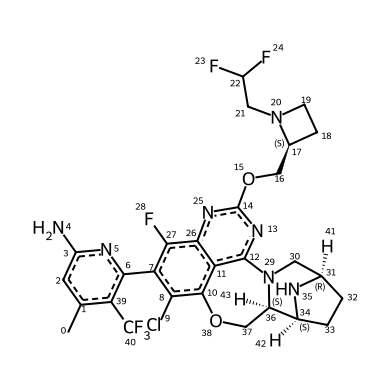 Cc1cc(N)nc(-c2c(Cl)c3c4c(nc(OC[C@@H]5CCN5CC(F)F)nc4c2F)N2C[C@H]4CC[C@H](N4)[C@H]2CO3)c1C(F)(F)F